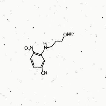 COCCCNc1cc(C#N)ccc1[N+](=O)[O-]